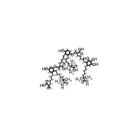 CC(C)(CCCCCc1cc(O)c(O)c(O)c1CCCCCC1(C(=O)O)CC1Oc1ccc(O)c(CCCCCC2(C(=O)O)CC2Oc2cc(O)cc(CCCCCC3(C(=O)O)CC3)c2CCCCCC(C)(C)C(=O)O)c1CCCCCC(C)(C)C(=O)O)C(=O)O